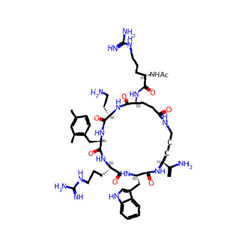 C=C(N)[C@@H]1CCCNC(=O)CC[C@H](NC(=O)[C@H](CCCNC(=N)N)NC(C)=O)C(=O)N[C@@H](CCN)C(=O)N[C@H](Cc2ccc(C)cc2C)C(=O)N[C@@H](CCCNC(=N)N)C(=O)N[C@@H](Cc2c[nH]c3ccccc23)C(=O)N1